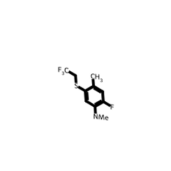 CNc1cc(SCC(F)(F)F)c(C)cc1F